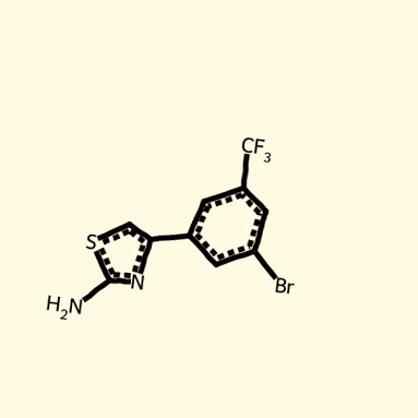 Nc1nc(-c2cc(Br)cc(C(F)(F)F)c2)cs1